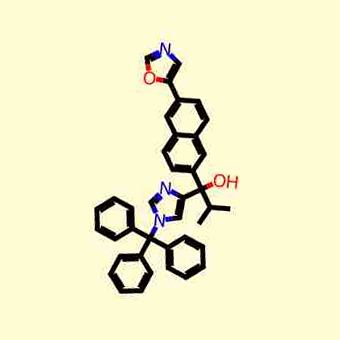 CC(C)C(O)(c1ccc2cc(-c3cnco3)ccc2c1)c1cn(C(c2ccccc2)(c2ccccc2)c2ccccc2)cn1